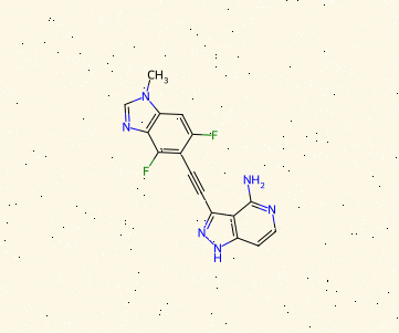 Cn1cnc2c(F)c(C#Cc3n[nH]c4ccnc(N)c34)c(F)cc21